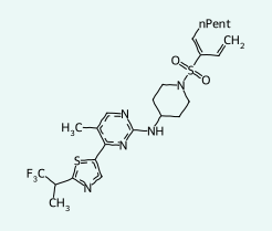 C=C/C(=C\CCCCC)S(=O)(=O)N1CCC(Nc2ncc(C)c(-c3cnc(C(C)C(F)(F)F)s3)n2)CC1